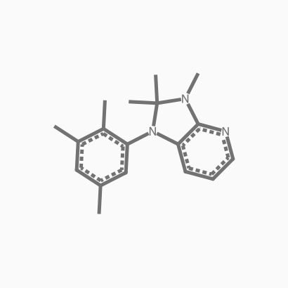 Cc1cc(C)c(C)c(N2c3cccnc3N(C)C2(C)C)c1